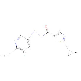 COc1ncc(NNC(=O)c2cnc(C3CC3)s2)cc1F